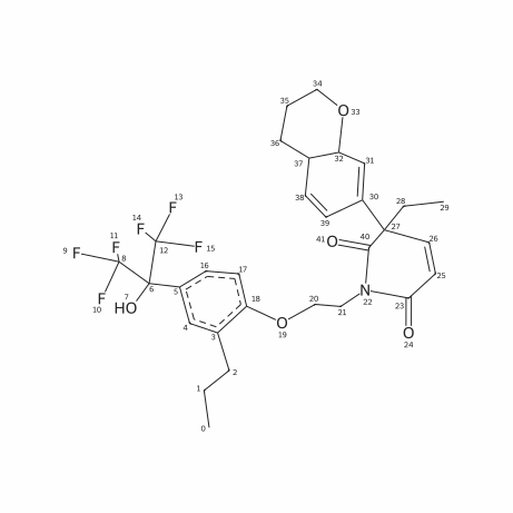 CCCc1cc(C(O)(C(F)(F)F)C(F)(F)F)ccc1OCCN1C(=O)C=CC(CC)(C2=CC3OCCCC3C=C2)C1=O